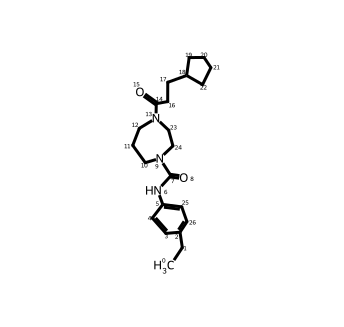 CCc1ccc(NC(=O)N2CCCN(C(=O)CCC3CCCC3)CC2)cc1